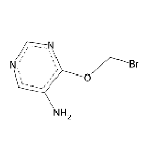 Nc1cncnc1OCBr